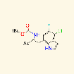 CC(=O)C(Cc1cc(F)c(Cl)c2cc[nH]c12)NC(=O)OC(C)(C)C